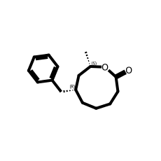 C[C@H]1C[C@@H](Cc2ccccc2)CCCCC(=O)O1